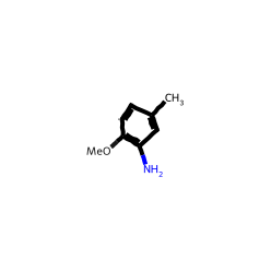 COc1[c]cc(C)cc1N